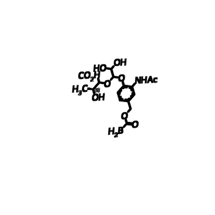 BC(=O)OCc1ccc(OC(OC(C(=O)O)[C@H](C)O)C(O)O)c(NC(C)=O)c1